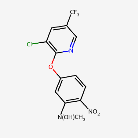 CN(O)c1cc(Oc2ncc(C(F)(F)F)cc2Cl)ccc1[N+](=O)[O-]